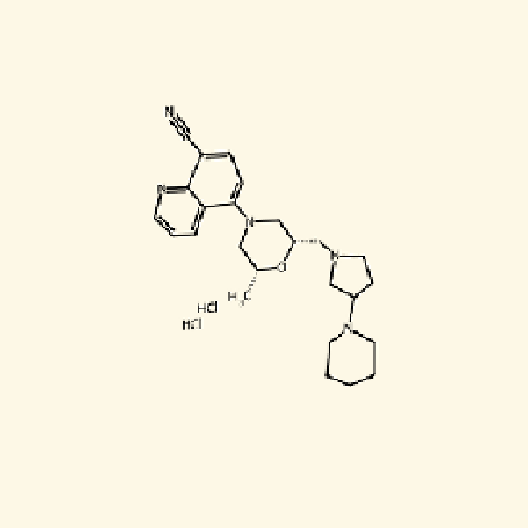 C[C@@H]1CN(c2ccc(C#N)c3ncccc23)C[C@H](CN2CCC(N3CCCCC3)C2)O1.Cl.Cl